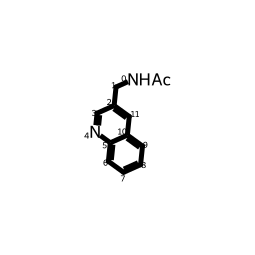 CC(=O)NCc1cnc2ccccc2c1